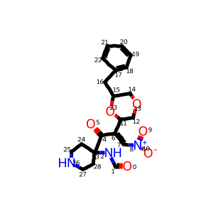 O=CNC1(C(=O)/C(=C/[N+](=O)[O-])C2COCC(Cc3ccccc3)O2)CCNCC1